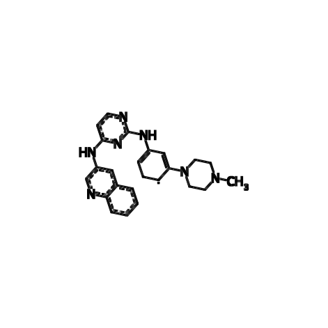 CN1CCN(C2=CC(Nc3nccc(Nc4cnc5ccccc5c4)n3)=CC[CH]2)CC1